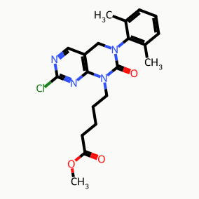 COC(=O)CCCCN1C(=O)N(c2c(C)cccc2C)Cc2cnc(Cl)nc21